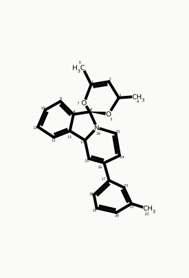 CC1=CC(C)O[C@]2(O1)c1ccccc1C1C=C(c3cccc(C)c3)C=CN12